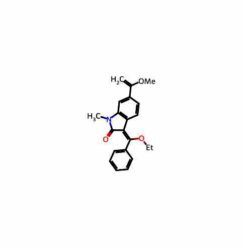 C=C(OC)c1ccc2c(c1)N(C)C(=O)/C2=C(/OCC)c1ccccc1